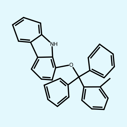 Cc1ccccc1C(Oc1cccc2c1[nH]c1ccccc12)(c1ccccc1)c1ccccc1